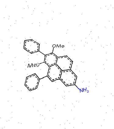 COc1c(-c2ccccc2)c(OC)c2c(-c3ccccc3)cc3cc(N)cc4ccc1c2c43